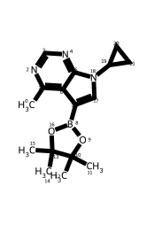 Cc1ncnc2c1c(B1OC(C)(C)C(C)(C)O1)cn2C1CC1